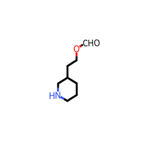 O=COCCC1CCCNC1